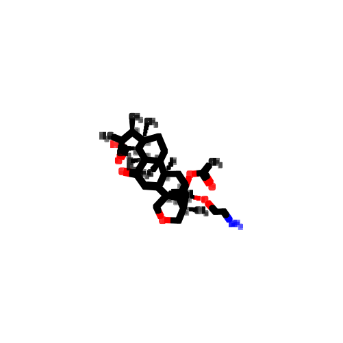 CC(=O)O[C@@H]1C[C@@]23COC[C@@](C)([C@@H]2CC[C@H]2C3=CC(=O)[C@@]3(C)[C@H](C(=O)O)[C@@](C)([C@H](C)C(C)C)CC[C@]23C)[C@H]1OCCN